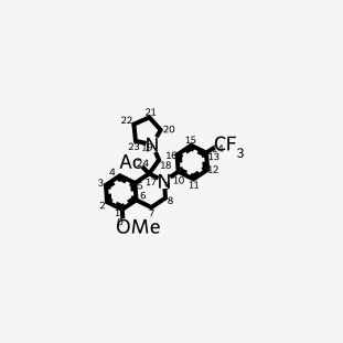 COc1cccc2c1CCN(c1ccc(C(F)(F)F)cc1)C2(CN1CCCC1)C(C)=O